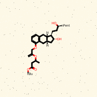 C=C(COc1cccc2c1C[C@H]1C[C@@H](O)[C@H](CC[C@@H](O)CCCCC)[C@H]1C2)OC(C)CC(=O)OCCCC